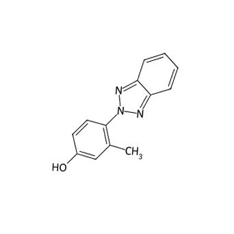 Cc1cc(O)ccc1-n1nc2ccccc2n1